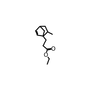 CCOC(=O)CCC12C=CC(CC1C)C2